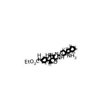 CCOC(=O)Nc1ccc(C2(c3n[nH]c4nc(N5CCC6(CC5)Cc5ccccc5[C@H]6N)[nH]c(=O)c34)CC2)cc1